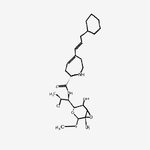 CSC1O[C@H]([C@H](NC(=O)[C@@H]2CC=C(/C=C/CC3CCCCC3)CCN2)[C@H](C)Cl)C(O)C2O[C@]12O